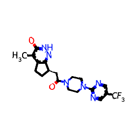 Cc1c2c(n[nH]c1=O)[C@@H](CC(=O)N1CCN(c3ncc(C(F)(F)F)cn3)CC1)CC2